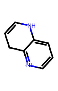 C1=C[N+]=C2CC=CNC2=C1